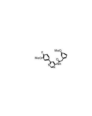 COc1cccc(CC(=O)Nc2cc(-c3ccc(F)c(OC)c3)ncn2)c1